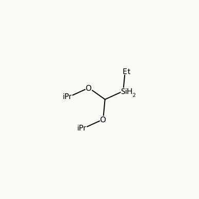 [CH2]C[SiH2]C(OC(C)C)OC(C)C